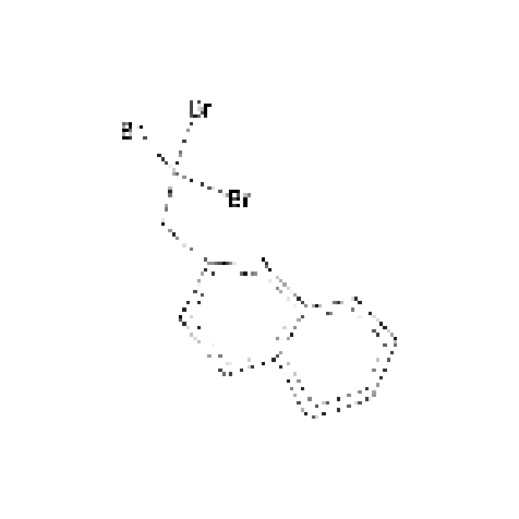 BrC(Br)(Br)Cc1ccc2ccccc2n1